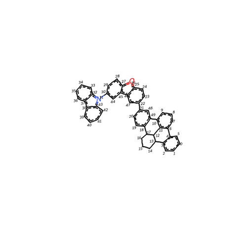 c1ccc2c(c1)-c1cccc3c1C1C2CCCC1c1ccc(-c2ccc4oc5ccc(-n6c7ccccc7c7ccccc76)cc5c4c2)cc1-3